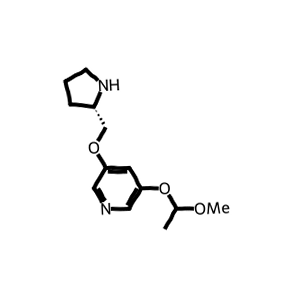 COC(C)Oc1cncc(OC[C@@H]2CCCN2)c1